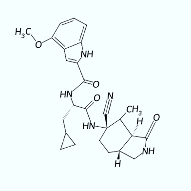 COc1cccc2[nH]c(C(=O)N[C@@H](CC3CC3)C(=O)N[C@@]3(C#N)CC[C@H]4CNC(=O)[C@@H]4C3C)cc12